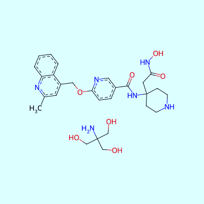 Cc1cc(COc2ccc(C(=O)NC3(CC(=O)NO)CCNCC3)cn2)c2ccccc2n1.NC(CO)(CO)CO